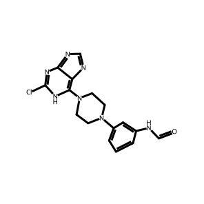 O=CNc1cccc(N2CCN(c3[nH]c(Cl)nc4ncnc3-4)CC2)c1